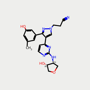 Cc1cc(O)cc(-c2nn(CCC#N)cc2-c2ccnc(N[C@H]3COC[C@@H]3O)n2)c1